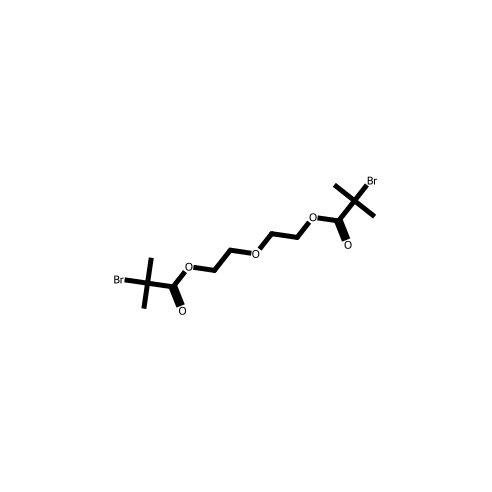 CC(C)(Br)C(=O)OCCOCCOC(=O)C(C)(C)Br